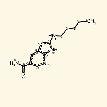 CCCCCNc1nc2cc(C(N)=O)cnc2[nH]1